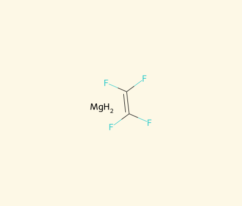 FC(F)=C(F)F.[MgH2]